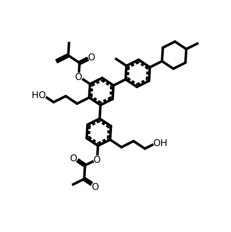 C=C(C)C(=O)Oc1cc(-c2ccc(C3CCC(C)CC3)cc2C)cc(-c2ccc(OC(=O)C(C)=O)c(CCCO)c2)c1CCCO